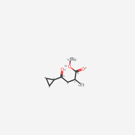 CCC(CC(=O)C1CC1)C(=O)OC(C)(C)C